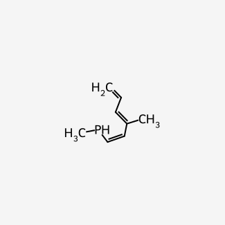 C=CC=C(C)/C=C\PC